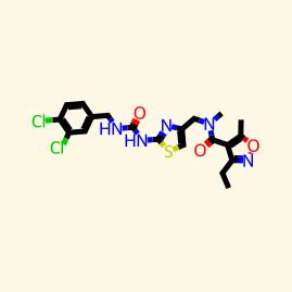 CCc1noc(C)c1C(=O)N(C)Cc1csc(NC(=O)NCc2ccc(Cl)c(Cl)c2)n1